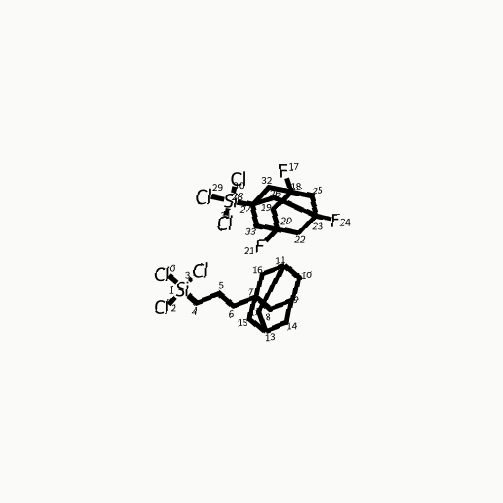 Cl[Si](Cl)(Cl)CCCC12CC3CC(CC(C3)C1)C2.FC12CC3(F)CC(F)(C1)CC([Si](Cl)(Cl)Cl)(C2)C3